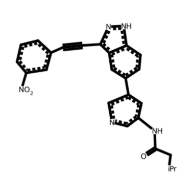 CC(C)CC(=O)Nc1cncc(-c2ccc3[nH]nc(C#Cc4cccc([N+](=O)[O-])c4)c3c2)c1